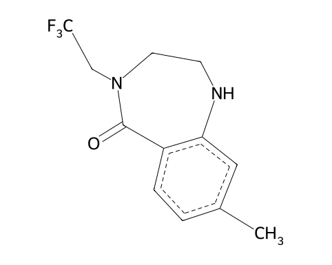 Cc1ccc2c(c1)NCCN(CC(F)(F)F)C2=O